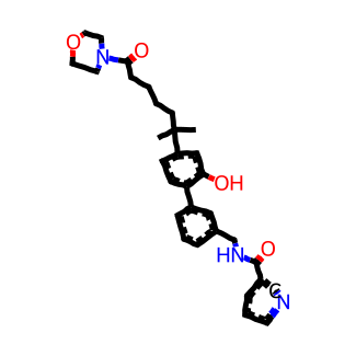 CC(C)(CCCCC(=O)N1CCOCC1)c1ccc(-c2cccc(CNC(=O)c3cccnc3)c2)c(O)c1